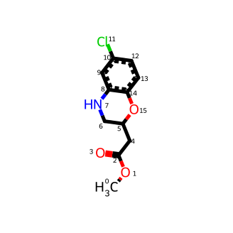 COC(=O)CC1CNc2cc(Cl)ccc2O1